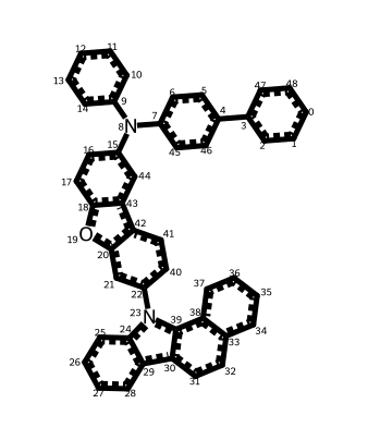 c1ccc(-c2ccc(N(c3ccccc3)c3ccc4oc5cc(-n6c7ccccc7c7ccc8ccccc8c76)ccc5c4c3)cc2)cc1